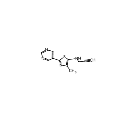 C#CCNc1sc(-c2cncnc2)nc1C